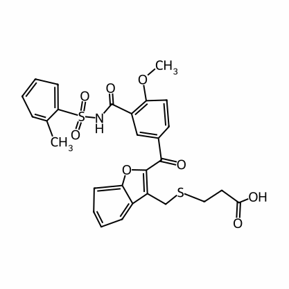 COc1ccc(C(=O)c2oc3ccccc3c2CSCCC(=O)O)cc1C(=O)NS(=O)(=O)c1ccccc1C